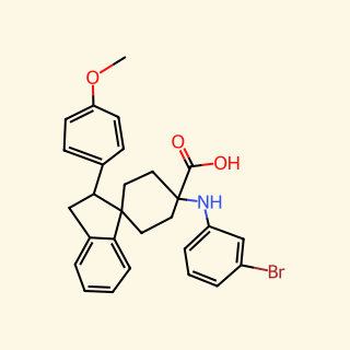 COc1ccc(C2Cc3ccccc3C23CCC(Nc2cccc(Br)c2)(C(=O)O)CC3)cc1